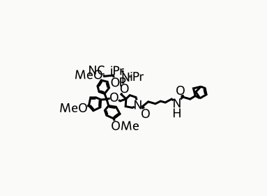 COc1ccc(C(OCC2(COP(OCCC#N)N(C(C)C)C(C)C)CCN(C(=O)CCCCCNC(=O)CC3CC4C=CC3C4)CC2)(c2ccc(OC)cc2)c2ccc(OC)cc2)cc1